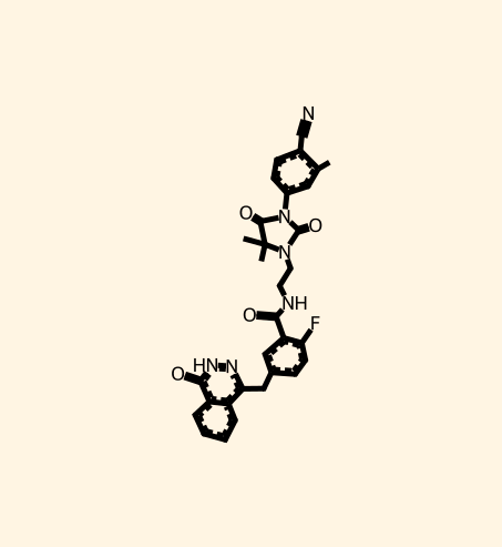 Cc1cc(N2C(=O)N(CCNC(=O)c3cc(Cc4n[nH]c(=O)c5ccccc45)ccc3F)C(C)(C)C2=O)ccc1C#N